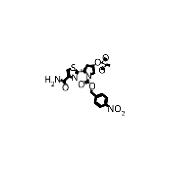 CS(=O)(=O)O[C@@H]1C[C@@H](c2nc(C(N)=O)cs2)N(C(=O)OCc2ccc([N+](=O)[O-])cc2)C1